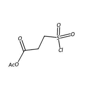 CC(=O)OC(=O)CCS(=O)(=O)Cl